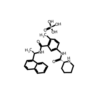 Cc1ccc(NC(=O)[C@H]2CCCCN2)cc1C(=O)N[C@H](C)c1cccc2ccccc12.O=P(O)(O)O